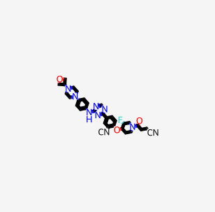 N#CCCC(=O)N1CCC(Oc2ccc(-c3ncnc(Nc4ccc(N5CCN(C6COC6)CC5)cc4)n3)cc2C#N)C(F)C1